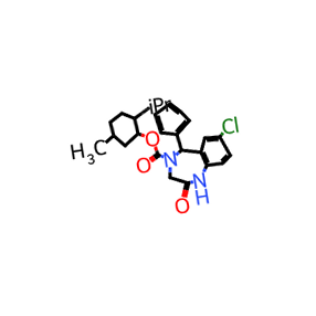 CC1CCC(C(C)C)C(OC(=O)N2CC(=O)Nc3ccc(Cl)cc3C2c2ccccc2)C1